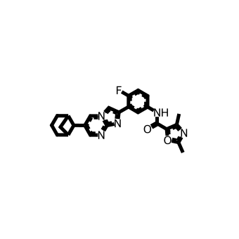 Cc1nc(C)c(C(=O)Nc2ccc(F)c(-c3cn4cc(C5C6CCCC5C6)cnc4n3)c2)o1